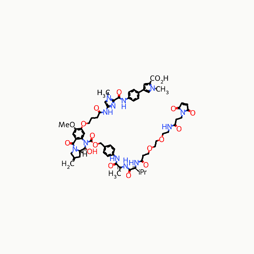 C=C1C[C@H]2[C@H](O)N(C(=O)OCc3ccc(NC(=O)[C@H](C)NC(=O)[C@@H](NC(=O)CCOCCOCCNC(=O)CCN4C(=O)C=CC4=O)C(C)C)cc3)c3cc(OCCCC(=O)Nc4cn(C)c(C(=O)Nc5ccc(-c6cc(C(=O)O)n(C)c6)cc5)n4)c(OC)cc3C(=O)N2C1